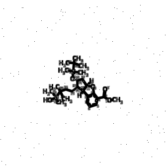 COC(=O)c1cccc2c1O[C@H]1C[C@@H](O[Si](C)(C)C(C)(C)C)[C@H](CCC(C)(C)[Si](C)(C)O)[C@@H]21